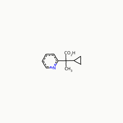 CC(C(=O)O)(c1ccccn1)C1CC1